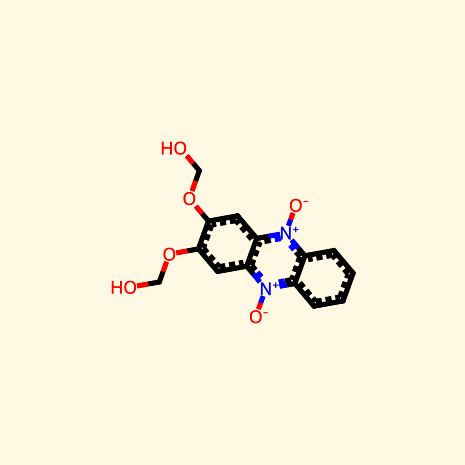 [O-][n+]1c2ccccc2[n+]([O-])c2cc(OCO)c(OCO)cc21